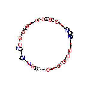 c1cc2nc(c1)-c1ccc(nc1)OCCOCCOCCOc1ccc(cc1)OCCOCCOCCOc1ccc(cc1)-c1ccc3ccc4ccc(nc4c3n1)-c1ccc(cc1)OCCOCCOCCOc1ccc(cc1)OCCCCCCOc1ccc-2cn1